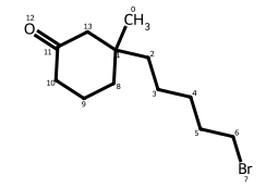 CC1(CCCCCBr)CCCC(=O)C1